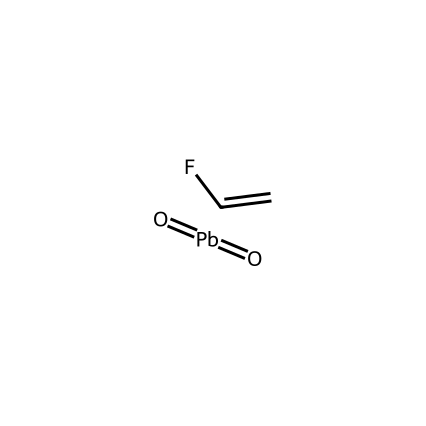 C=CF.[O]=[Pb]=[O]